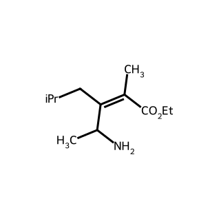 CCOC(=O)C(C)=C(CC(C)C)C(C)N